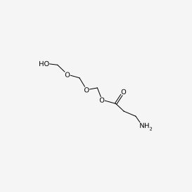 NCCC(=O)OCOCOCO